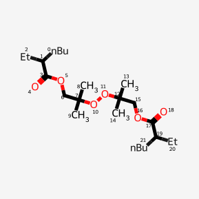 CCCCC(CC)C(=O)OCC(C)(C)OOC(C)(C)COC(=O)C(CC)CCCC